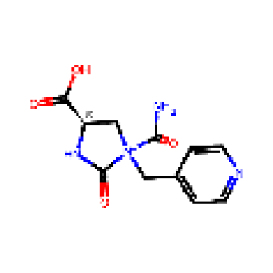 NC(=O)[N+]1(Cc2ccncc2)C[C@H](C(=O)O)NC1=O